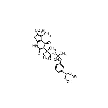 CCOC(=O)c1sc2[nH]c(=O)n(C(C)(C)C(=O)OC(C)(C)Cc3cccc([C@H](CO)OC(C)C)c3)c(=O)c2c1C